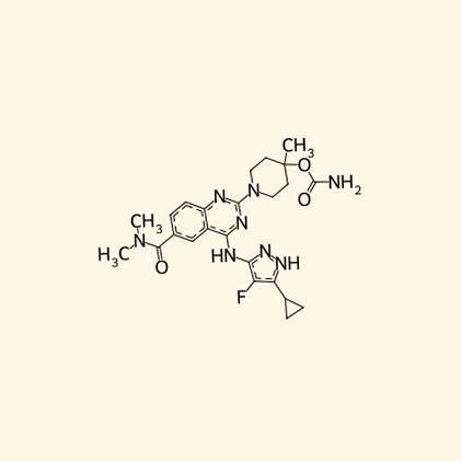 CN(C)C(=O)c1ccc2nc(N3CCC(C)(OC(N)=O)CC3)nc(Nc3n[nH]c(C4CC4)c3F)c2c1